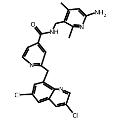 Cc1cc(N)nc(C)c1CNC(=O)c1ccnc(Cc2cc(Cl)cc3cc(Cl)cnc23)c1